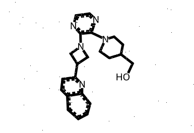 OCC1CCN(c2nccnc2N2CC(c3ccc4ccccc4n3)C2)CC1